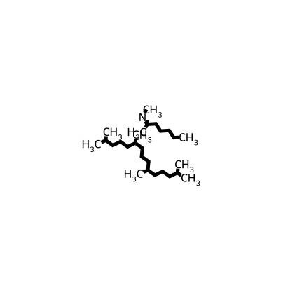 CC(C)CCCC(C)CCCC(C)CCCC(C)C.CCCCC/C(C)=N\C